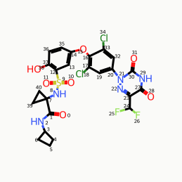 O=C(NC1CCC1)C1(NS(=O)(=O)c2cc(Oc3c(Cl)cc(-n4nc(C(F)F)c(=O)[nH]c4=O)cc3Cl)ccc2O)CC1